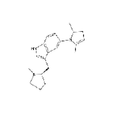 CC1=CCC(C)N1c1ccc2[nH]cc(C[C@H]3CCCN3C)c2c1